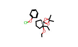 CCOC1(CC)CCCC[Si]1(OCC)OCC.ClOc1ccccc1